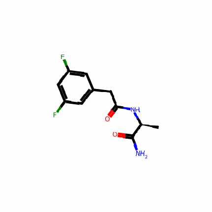 C[C@H](NC(=O)Cc1cc(F)cc(F)c1)C(N)=O